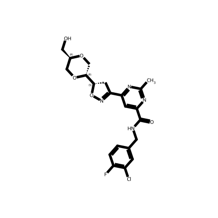 Cc1nc(C(=O)NCc2ccc(F)c(Cl)c2)cc(C2=NO[C@H]([C@H]3CO[C@H](CO)CO3)C2)n1